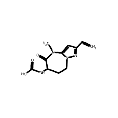 C=Cc1cc2n(n1)CCC(NC(=O)O)C(=O)N2C